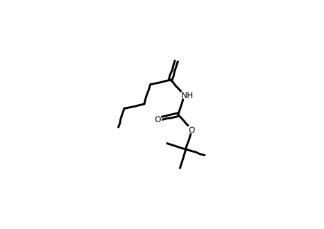 C=C(CCCC)NC(=O)OC(C)(C)C